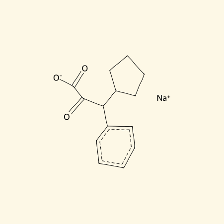 O=C([O-])C(=O)C(c1ccccc1)C1CCCC1.[Na+]